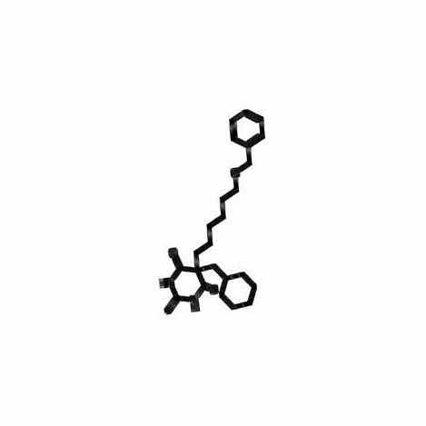 C=C1NC(=O)C(CCCCCCOCc2ccccc2)(CC2CCCCC2)C(=O)N1